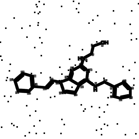 OCCNc1nc(NCc2ccccc2)c2cnn(C=Cc3ccccc3)c2n1